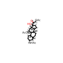 CC(=O)N[C@H]1CC[C@@]2(C)[C@H](CC[C@@H]3[C@@H]2[C@@H](OC(C)=O)C[C@@]2(C)[C@H]3CC[C@]2(O)C(=O)COC(C)=O)C1